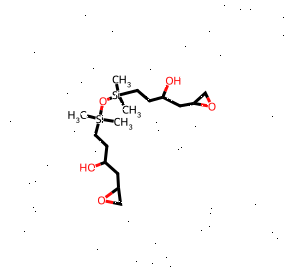 C[Si](C)(CCC(O)CC1CO1)O[Si](C)(C)CCC(O)CC1CO1